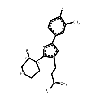 Cc1cc(-c2cn(CCN(C)C)c([C@H]3CCNC[C@H]3F)n2)ccc1F